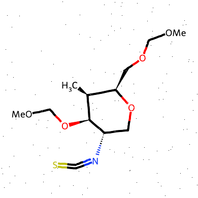 COCOC[C@H]1OC[C@H](N=C=S)[C@@H](OCOC)[C@H]1C